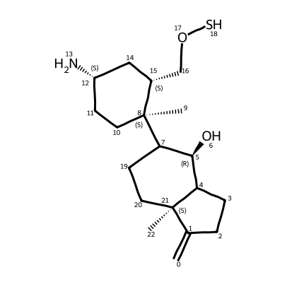 C=C1CCC2[C@H](O)C([C@@]3(C)CC[C@H](N)C[C@@H]3COS)CC[C@]12C